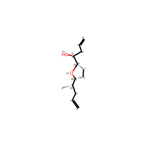 C=CC[C@H](C)[C@H]1CC[C@@H]([C@@H](O)CC=C)O1